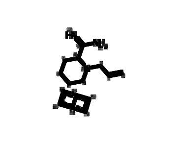 C=CCN1CCCCC1C(=N)N.c1cc2ccc1-2